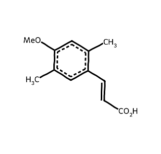 COc1cc(C)c(/C=C/C(=O)O)cc1C